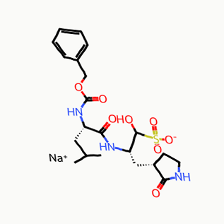 CC(C)C[C@H](NC(=O)OCc1ccccc1)C(=O)N[C@@H](C[C@@H]1CCNC1=O)C(O)S(=O)(=O)[O-].[Na+]